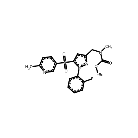 Cc1ccc(S(=O)(=O)c2cc(CN(C)C(=O)OC(C)(C)C)nn2-c2ccccc2F)cn1